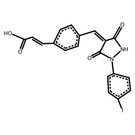 O=C(O)/C=C/c1ccc(C=C2C(=O)NN(c3ccc(I)cc3)C2=O)cc1